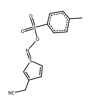 Cc1ccc(S(=O)(=O)ON=S2C=CC(CC#N)=C2)cc1